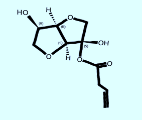 C=CCC(=O)O[C@@]1(O)CO[C@@H]2[C@H](O)CO[C@@H]21